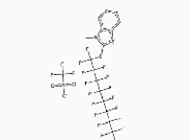 C[n+]1c(SC(F)(F)C(F)(F)C(F)(F)C(F)(F)C(F)(F)C(F)(F)C(F)(F)C(F)(F)F)sc2ccccc21.O=S(=O)([O-])C(F)(F)F